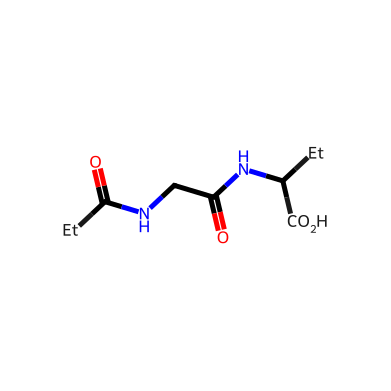 CCC(=O)NCC(=O)NC(CC)C(=O)O